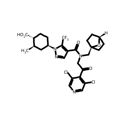 C[C@@H]1C[C@H](n2ncc(C(=O)N(CC(=O)c3c(Cl)cncc3Cl)C[C@]34CC[C@H](CC3)O4)c2C(F)(F)F)CC[C@H]1C(=O)O